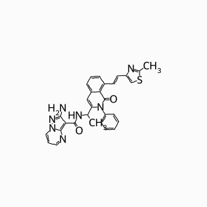 Cc1nc(/C=C/c2cccc3cc(C(C)NC(=O)c4c(N)nn5cccnc45)n(-c4ccccc4)c(=O)c23)cs1